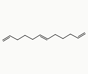 C=CCCCC=CCCCC=C